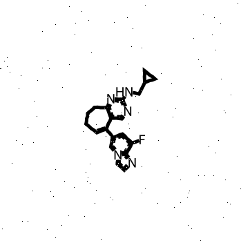 Fc1cc(C2=CCCCc3nc(NCC4CC4)ncc32)cn2ccnc12